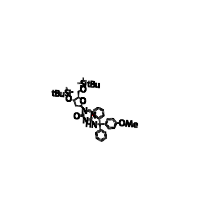 COc1ccc(C(Nc2ncn([C@H]3C[C@H](O[Si](C)(C)C(C)(C)C)[C@@H](CO[Si](C)(C)C(C)(C)C)O3)c(=O)n2)(c2ccccc2)c2ccccc2)cc1